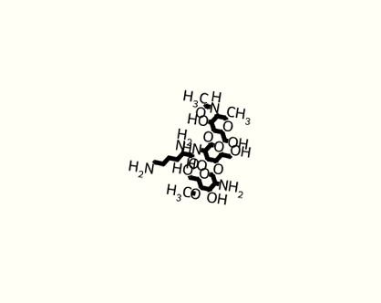 COC1C(CO)OC(OC2C(CO)OC(OC3C(CO)OC(C)C(NC(C)=O)C3O)C(NC(=O)[C@@H](N)CCCCN)C2O)C(N)C1O